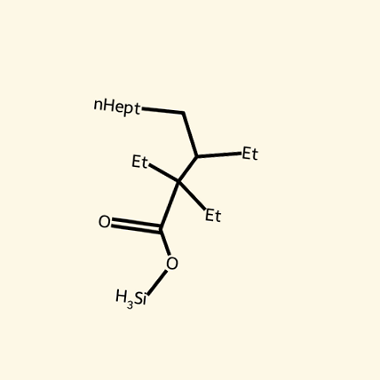 CCCCCCCCC(CC)C(CC)(CC)C(=O)O[SiH3]